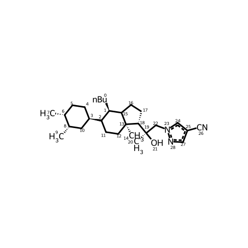 CCCC[C@@H]1C([C@@H]2CC[C@@H](C)[C@@H](C)C2)CC[C@@]2(C)C1CC[C@@H]2[C@](C)(O)Cn1cc(C#N)cn1